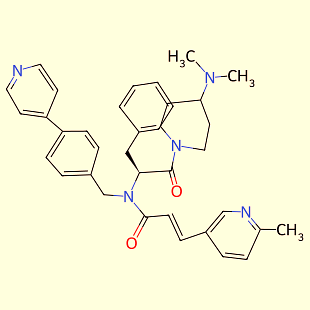 Cc1ccc(/C=C/C(=O)N(Cc2ccc(-c3ccncc3)cc2)[C@@H](Cc2ccccc2)C(=O)N2CCC(N(C)C)CC2)cn1